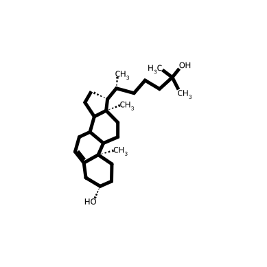 C[C@H](CCCC(C)(C)O)[C@H]1CCC2C3CC=C4C[C@@H](O)CC[C@]4(C)C3CC[C@@]21C